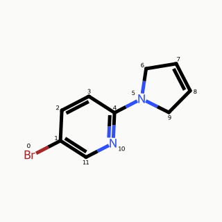 Brc1ccc(N2CC=CC2)nc1